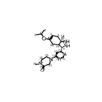 CC(C)OC1=CC[C@H]2NN[C@@H](c3cc(N4CCN(C)C(=O)C4)ncn3)C2C1